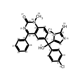 Cn1c(C(O)(c2ccc(Cl)cc2)c2ccc3c(c2)c(-c2ccccc2)nc(=O)n3C)cnc1S